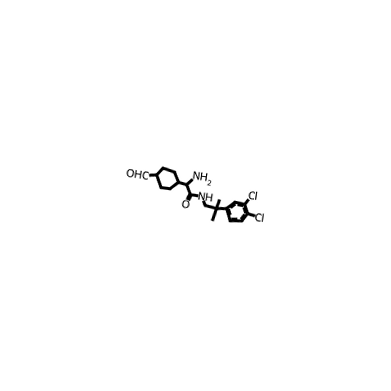 CC(C)(CNC(=O)C(N)C1CCC(C=O)CC1)c1ccc(Cl)c(Cl)c1